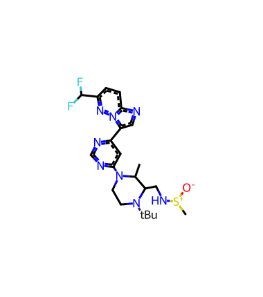 CC1C(CN[S+](C)[O-])N(C(C)(C)C)CCN1c1cc(-c2cnc3ccc(C(F)F)nn23)ncn1